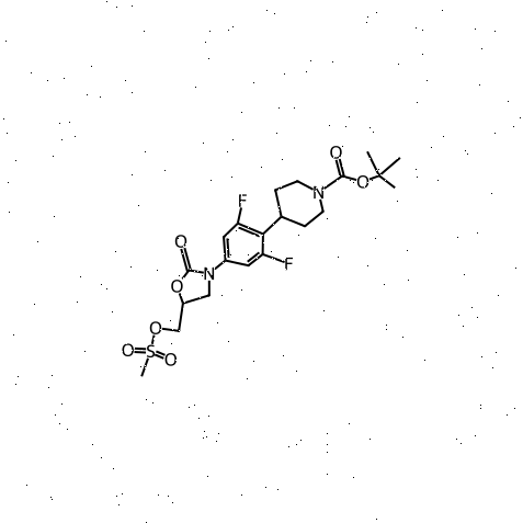 CC(C)(C)OC(=O)N1CCC(c2c(F)cc(N3CC(COS(C)(=O)=O)OC3=O)cc2F)CC1